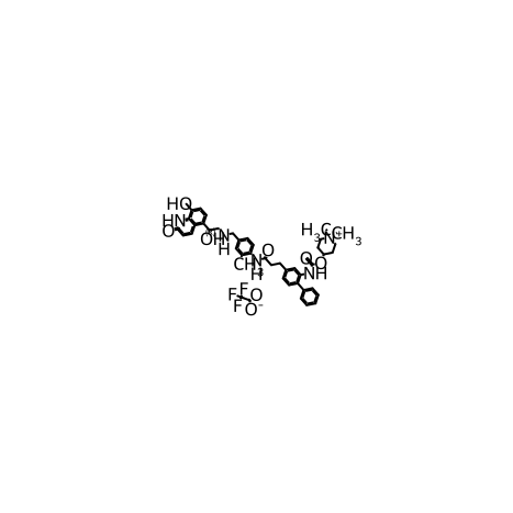 Cc1cc(CNC[C@H](O)c2ccc(O)c3[nH]c(=O)ccc23)ccc1NC(=O)CCc1ccc(-c2ccccc2)c(NC(=O)OC2CC[N+](C)(C)CC2)c1.O=C([O-])C(F)(F)F